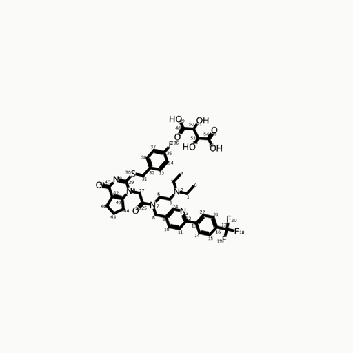 CCN(CC)CCN(Cc1ccc(-c2ccc(C(F)(F)F)cc2)nc1)C(=O)Cn1c(SCc2ccc(F)cc2)nc(=O)c2c1CCC2.O=C(O)C(O)C(O)C(=O)O